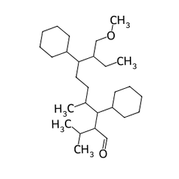 CCC(COC)C(CCC(C)C(C1CCCCC1)C(C=O)C(C)C)C1CCCCC1